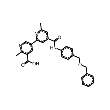 Cc1cc(C(=O)Nc2ccc(COCc3ccccc3)cc2)cc(-c2cnc(C)c(C(=O)O)c2)n1